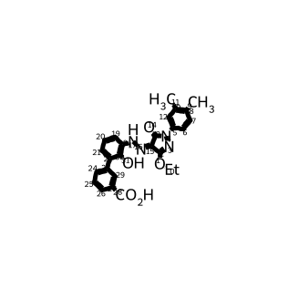 CCOC1=NN(c2ccc(C)c(C)c2)C(=O)/C1=N\Nc1cccc(-c2cccc(C(=O)O)c2)c1O